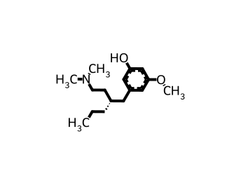 CCC[C@H](CCN(C)C)Cc1cc(O)cc(OC)c1